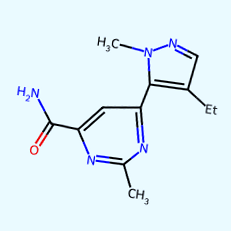 CCc1cnn(C)c1-c1cc(C(N)=O)nc(C)n1